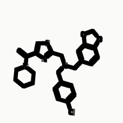 C=C(c1csc(CN(Cc2ccc(Cl)cc2)Cc2ccc3c(c2)OCO3)n1)N1CCCCC1